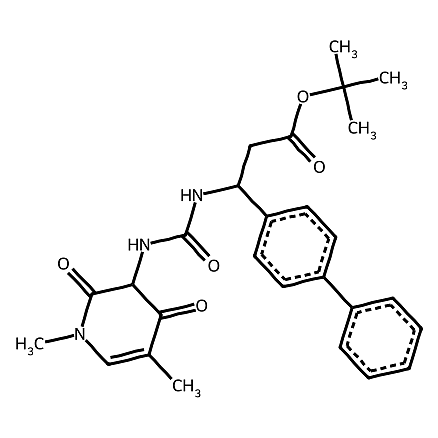 CC1=CN(C)C(=O)C(NC(=O)NC(CC(=O)OC(C)(C)C)c2ccc(-c3ccccc3)cc2)C1=O